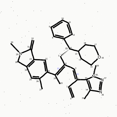 C=C/C(=C\C(C[C@H](c1ccccc1)C1CCOCC1)=C(/C)c1cc2c(cc1C)CN(C)C2=C)c1c(C)nnn1C